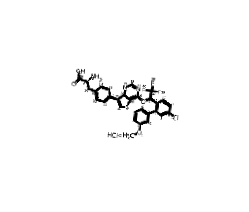 COc1cccc(-c2cc(Cl)ccc2C(Oc2ncnc3c(-c4ccc(C[C@H](N)C(=O)O)cc4)csc23)C(F)(F)F)c1.Cl